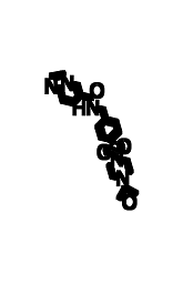 O=C(NCc1ccc(S(=O)(=O)N2CCN(C3COC3)CC2)cc1)c1ccc2nccn2c1